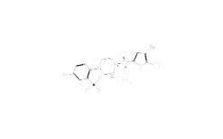 C[C@@H]1CN(c2ccc(F)cc2C(F)(F)F)CCN1S(=O)(=O)c1cc(Br)c(Cl)s1